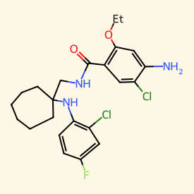 CCOc1cc(N)c(Cl)cc1C(=O)NCC1(Nc2ccc(F)cc2Cl)CCCCCC1